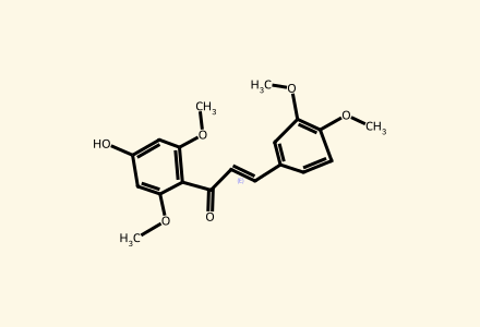 COc1ccc(/C=C/C(=O)c2c(OC)cc(O)cc2OC)cc1OC